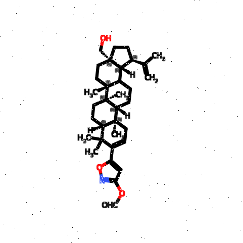 C=C(C)[C@@H]1CC[C@]2(CO)CC[C@]3(C)C(CC[C@@H]4[C@@]5(C)CC=C(c6cc(OC=O)no6)C(C)(C)[C@@H]5CC[C@]43C)[C@@H]12